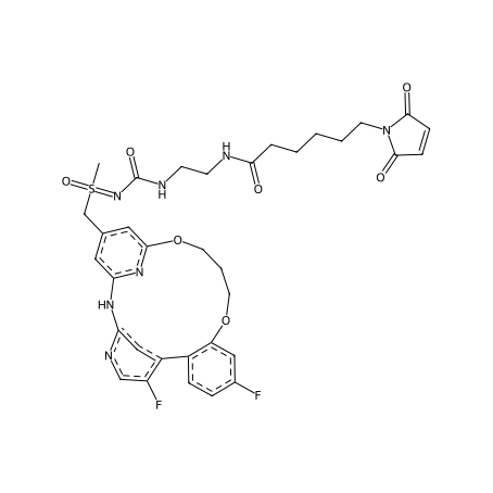 CS(=O)(Cc1cc2nc(c1)OCCCOc1cc(F)ccc1-c1cc(ncc1F)N2)=NC(=O)NCCNC(=O)CCCCCN1C(=O)C=CC1=O